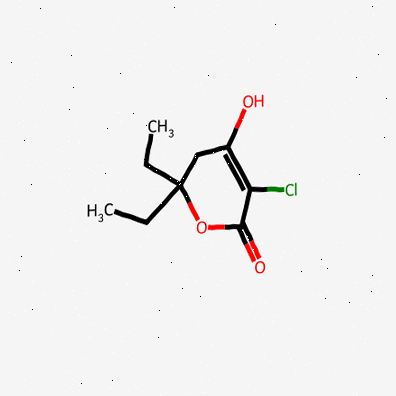 CCC1(CC)CC(O)=C(Cl)C(=O)O1